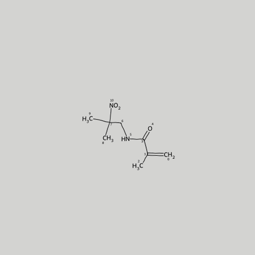 C=C(C)C(=O)NCC(C)(C)[N+](=O)[O-]